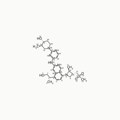 C[C@H](CO)c1ccc(N2C[C@@H](CS(C)(=O)=O)[C@@H]2C)c2cnc(Nc3ccnc(N4CC[C@@H](O)[C@H](C)C4)n3)cc12